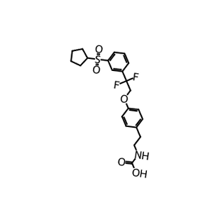 O=C(O)NCCc1ccc(OCC(F)(F)c2cccc(S(=O)(=O)C3CCCC3)c2)cc1